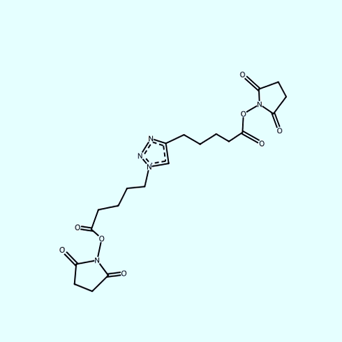 O=C(CCCCc1cn(CCCCC(=O)ON2C(=O)CCC2=O)nn1)ON1C(=O)CCC1=O